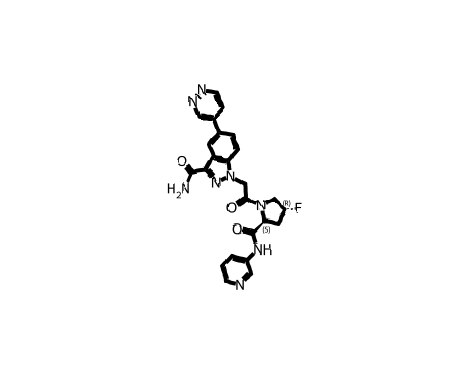 NC(=O)c1nn(CC(=O)N2C[C@H](F)C[C@H]2C(=O)Nc2cccnc2)c2ccc(-c3ccnnc3)cc12